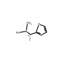 CC(=O)N(C)[C@@H](I)c1ncco1